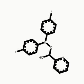 OC(OB(c1ccc(F)cc1)c1ccc(F)cc1)c1ccccn1